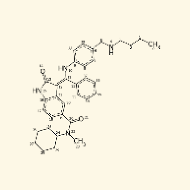 CCCCNCc1ccc(N/C(=C2\C(=O)Nc3ccc(C(=O)N(C)C4CCCCC4)cc32)c2ccccc2)cc1